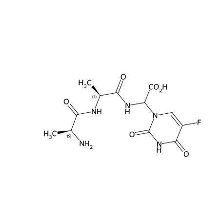 C[C@H](N)C(=O)N[C@@H](C)C(=O)NC(C(=O)O)n1cc(F)c(=O)[nH]c1=O